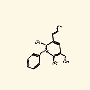 CCCC=CC1=CC(CO)=C(C(C)C)N(c2ccccc2)C1C(C)C